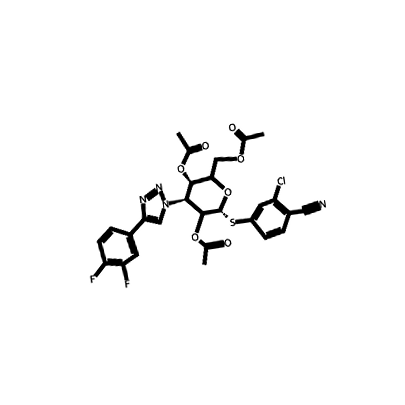 CC(=O)OCC1O[C@H](Sc2ccc(C#N)c(Cl)c2)C(OC(C)=O)[C@@H](n2cc(-c3ccc(F)c(F)c3)nn2)[C@H]1OC(C)=O